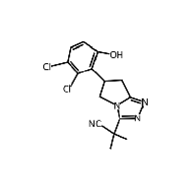 CC(C)(C#N)c1nnc2n1CC(c1c(O)ccc(Cl)c1Cl)C2